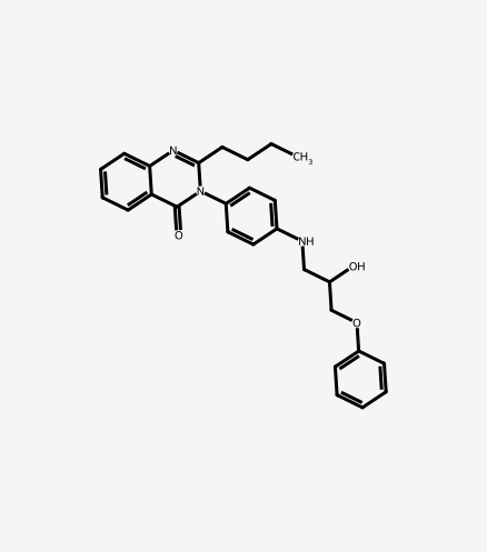 CCCCc1nc2ccccc2c(=O)n1-c1ccc(NCC(O)COc2ccccc2)cc1